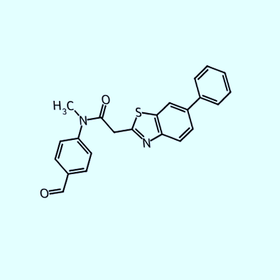 CN(C(=O)Cc1nc2ccc(-c3ccccc3)cc2s1)c1ccc(C=O)cc1